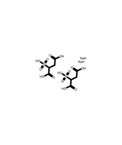 O=C(O)CC(C(=O)O)S(=O)(=O)O.O=C(O)CC(C(=O)O)S(=O)(=O)O.[NaH].[NaH]